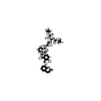 Cc1ccc2cccc(OCc3c(Cl)ccc(S(=O)(=O)N4CCC[C@H]4C(=O)NCCN/C(=N\C(=O)OC(C)(C)C)NC(=O)OC(C)(C)C)c3Cl)c2n1